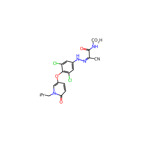 CC(C)Cn1cc(Oc2c(Cl)cc(NN=C(C#N)C(=O)NC(=O)O)cc2Cl)ccc1=O